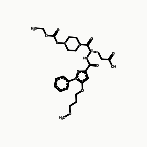 CCOC(=O)ON1CCN(C(=O)[C@H](CCC(=O)O)NC(=O)c2cc(OCCCOC)n(-c3ccccc3)n2)CC1